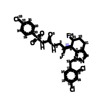 O=C(NC/C(F)=C1/c2c(cnn2Cc2ccc(Cl)cc2Cl)CCC1F)NS(=O)(=O)c1ccc(Cl)cc1